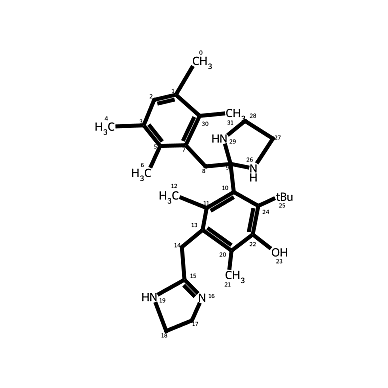 Cc1cc(C)c(C)c(CC2(c3c(C)c(CC4=NCCN4)c(C)c(O)c3C(C)(C)C)NCCN2)c1C